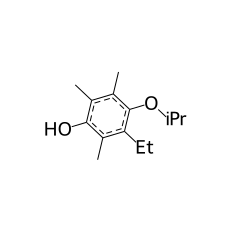 CCc1c(C)c(O)c(C)c(C)c1OC(C)C